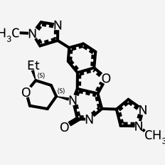 CC[C@H]1C[C@@H](n2c(=O)nc(-c3cnn(C)c3)c3oc4ccc(-c5cn(C)cn5)cc4c32)CCO1